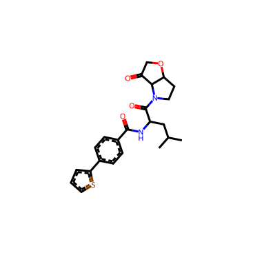 CC(C)CC(NC(=O)c1ccc(-c2cccs2)cc1)C(=O)N1CCC2OCC(=O)C21